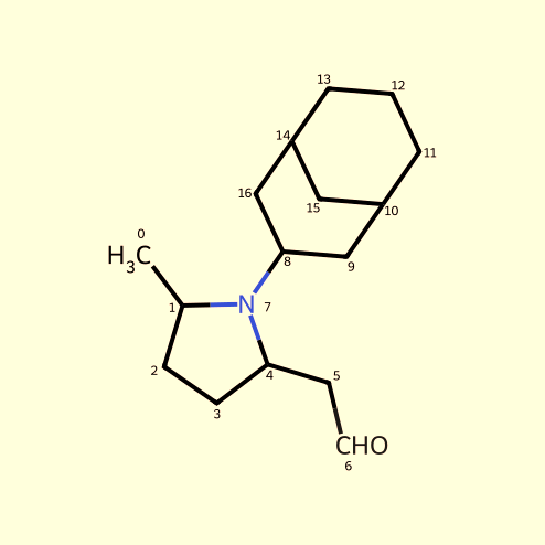 CC1CCC(CC=O)N1C1CC2CCCC(C2)C1